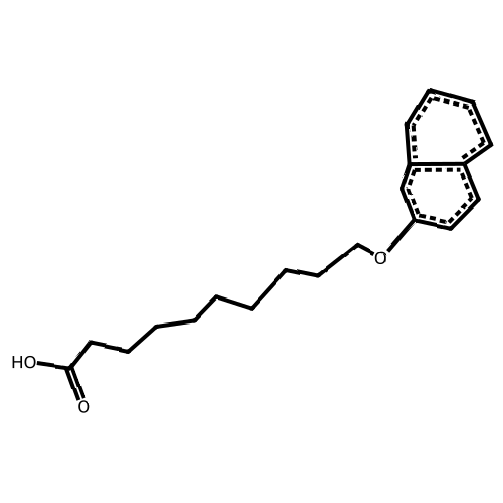 O=C(O)CCCCCCCCCOc1ccc2ccccc2c1